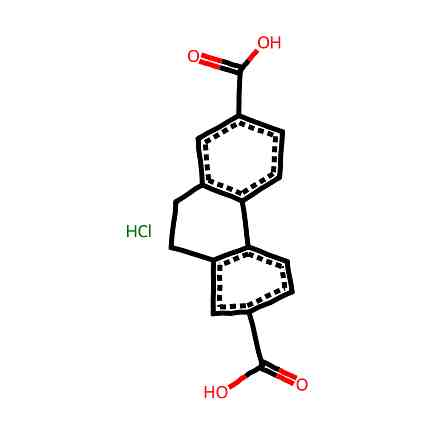 Cl.O=C(O)c1ccc2c(c1)CCc1cc(C(=O)O)ccc1-2